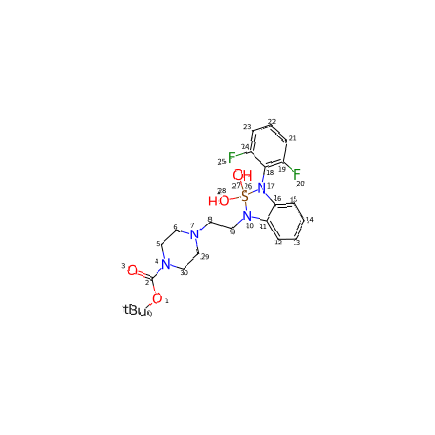 CC(C)(C)OC(=O)N1CCN(CCN2c3ccccc3N(c3c(F)cccc3F)S2(O)O)CC1